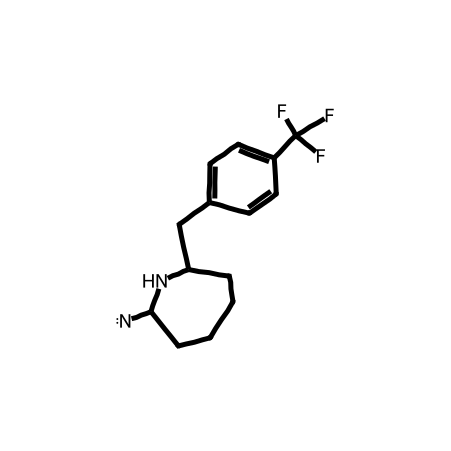 [N]C1CCCCC(Cc2ccc(C(F)(F)F)cc2)N1